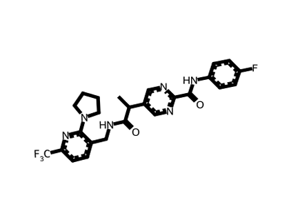 CC(C(=O)NCc1ccc(C(F)(F)F)nc1N1CCCC1)c1cnc(C(=O)Nc2ccc(F)cc2)nc1